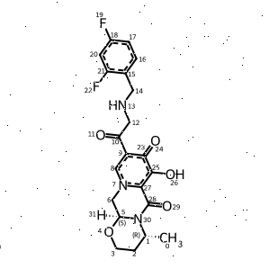 C[C@@H]1CCO[C@H]2Cn3cc(C(=O)CNCc4ccc(F)cc4F)c(=O)c(O)c3C(=O)N12